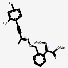 CO/N=C(/C(=O)OC)c1ccccc1CO/N=C(\C)C#Cc1ccc(Cl)cc1C(F)(F)F